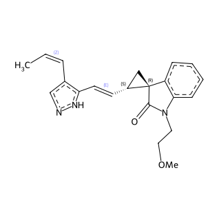 C/C=C\c1cn[nH]c1/C=C/[C@@H]1C[C@@]12C(=O)N(CCOC)c1ccccc12